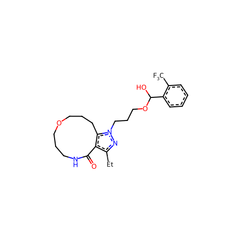 CCc1nn(CCCOC(O)c2ccccc2C(F)(F)F)c2c1C(=O)NCCCOCCC2